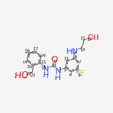 O=C(Nc1cc(F)cc(NCCO)c1)Nc1ccccc1CO